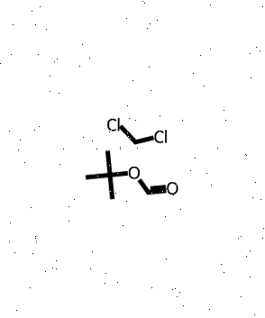 CC(C)(C)OC=O.ClCCl